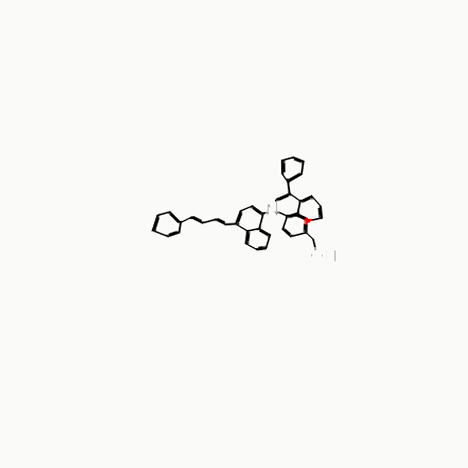 OCc1ccc(N(C=C(c2ccccc2)c2ccccc2)c2ccc(/C=C/C=C/c3ccccc3)c3ccccc23)cc1